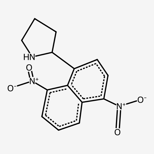 O=[N+]([O-])c1ccc(C2CCCN2)c2c([N+](=O)[O-])cccc12